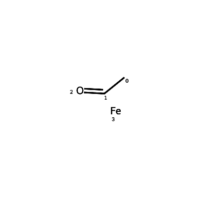 CC=O.[Fe]